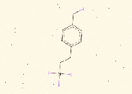 ICc1ccc(CC[Si](I)(I)I)cc1